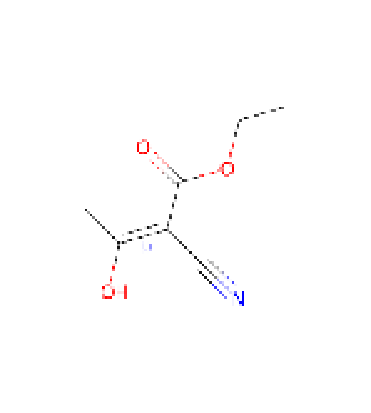 CCOC(=O)/C(C#N)=C(\C)O